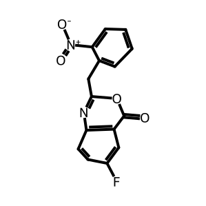 O=c1oc(Cc2ccccc2[N+](=O)[O-])nc2ccc(F)cc12